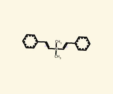 C[N+](C)(/C=C/c1ccccc1)/C=C/c1ccccc1